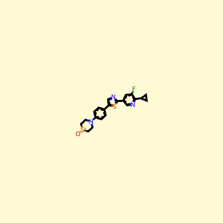 [O-][S+]1CCN(c2ccc(-c3cnc(-c4cnc(C5CC5)c(F)c4)s3)cc2)CC1